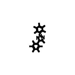 Cc1nn(-c2c(C)c(C)c(C)c(C)c2C)nc1-c1c(C)c(C)c(C)c(C)c1C